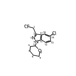 ClCc1nn(C2CCCCO2)c2ccc(Cl)cc12